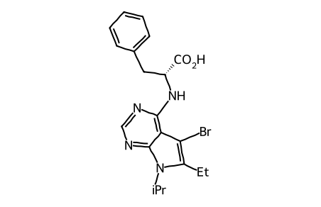 CCc1c(Br)c2c(N[C@H](Cc3ccccc3)C(=O)O)ncnc2n1C(C)C